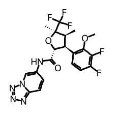 COc1c([C@H]2[C@H](C(=O)Nc3ccc4nnnn4c3)O[C@@](C)(C(F)(F)F)[C@H]2C)ccc(F)c1F